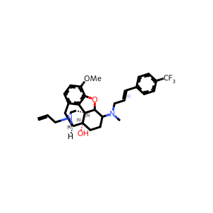 C=CCN1CC[C@]23c4c5ccc(OC)c4OC2C(N(C)C/C=C/c2ccc(C(F)(F)F)cc2)CC[C@@]3(O)[C@H]1C5